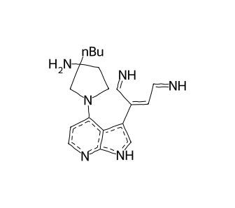 CCCCC1(N)CCN(c2ccnc3[nH]cc(/C(C=N)=C/C=N)c23)C1